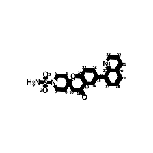 NS(=O)(=O)N1CCC2(CC1)CC(=O)c1cc(-c3cccc4cccnc34)ccc1O2